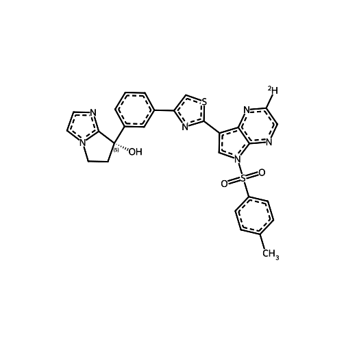 [2H]c1cnc2c(n1)c(-c1nc(-c3cccc([C@@]4(O)CCn5ccnc54)c3)cs1)cn2S(=O)(=O)c1ccc(C)cc1